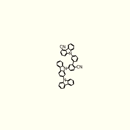 N#Cc1ccc(-n2c3ccccc3c3ccc(-n4c5ccccc5c5ccccc54)cc32)cc1-c1cccc(-n2c3ccccc3c3c(C#N)cccc32)c1